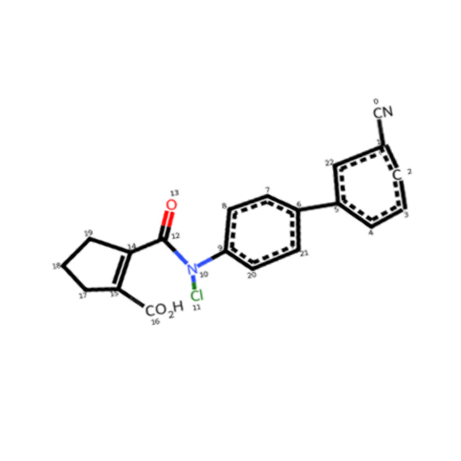 N#Cc1cccc(-c2ccc(N(Cl)C(=O)C3=C(C(=O)O)CCC3)cc2)c1